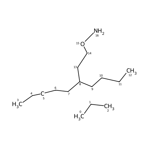 CCC.CCCCCC(CCCC)CCON